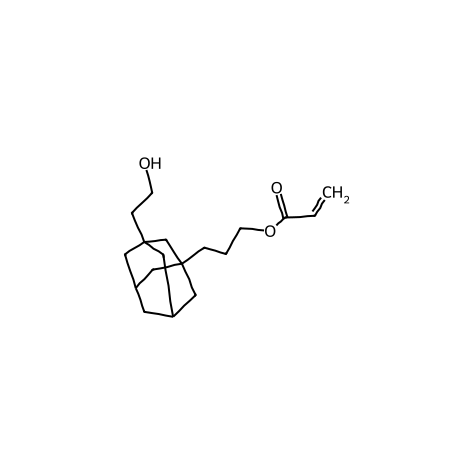 C=CC(=O)OCCCC12CC3CC(CC(CCO)(C3)C1)C2